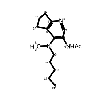 CC(=O)Nc1cnc2c(c1N(C)CCCCI)CCC2